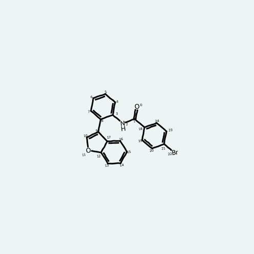 O=C(Nc1ccccc1-c1coc2ccccc12)c1ccc(Br)cc1